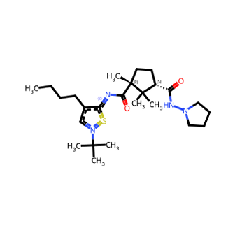 CCCCc1cn(C(C)(C)C)s/c1=N\C(=O)[C@]1(C)CC[C@H](C(=O)NN2CCCC2)C1(C)C